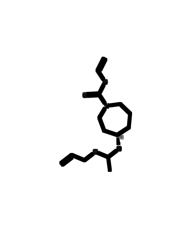 C=CCOC(C)O[C@H]1CCCN(C(=O)OC=C)CC1